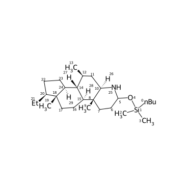 CCCC[Si](C)(C)OC1CC[C@@]2(C)[C@@H](C[C@H](C)[C@@H]3[C@@H]2CC[C@]2(C)[C@@H](CC)CC[C@@H]32)N1